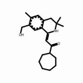 Cc1cc2c(cc1CO)C(=CC(=O)C1CCCCCC1)NC(C)(C)C2